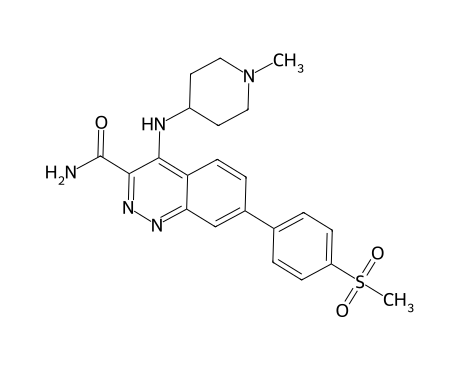 CN1CCC(Nc2c(C(N)=O)nnc3cc(-c4ccc(S(C)(=O)=O)cc4)ccc23)CC1